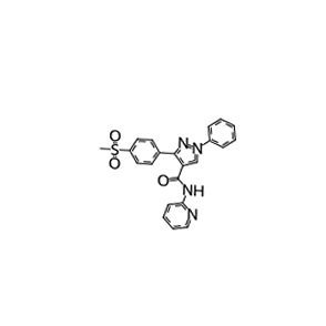 CS(=O)(=O)c1ccc(-c2nn(-c3ccccc3)cc2C(=O)Nc2ccccn2)cc1